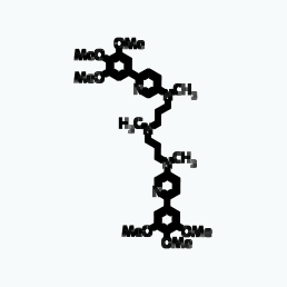 COc1cc(-c2ccc(N(C)CCCN(C)CCCN(C)c3ccc(-c4cc(OC)c(OC)c(OC)c4)nc3)cn2)cc(OC)c1OC